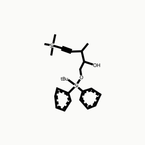 CC(C#C[Si](C)(C)C)C(O)CO[Si](c1ccccc1)(c1ccccc1)C(C)(C)C